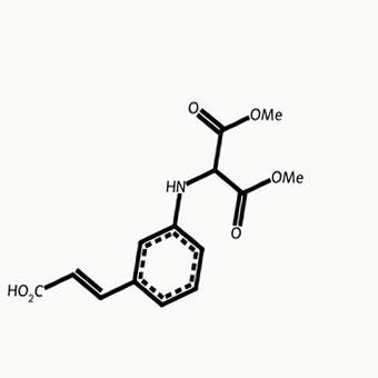 COC(=O)C(Nc1cccc(C=CC(=O)O)c1)C(=O)OC